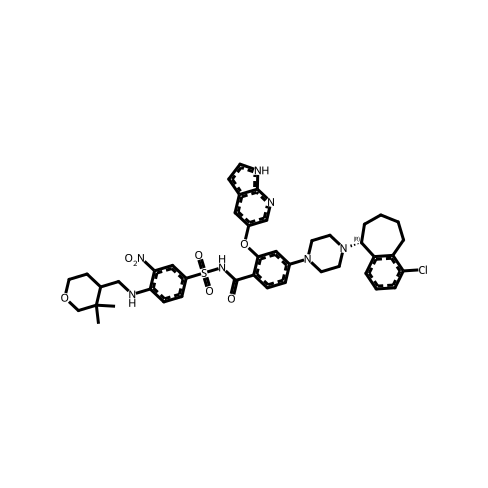 CC1(C)COCCC1CNc1ccc(S(=O)(=O)NC(=O)c2ccc(N3CCN([C@@H]4CCCCc5c(Cl)cccc54)CC3)cc2Oc2cnc3[nH]ccc3c2)cc1[N+](=O)[O-]